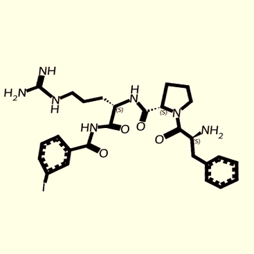 N=C(N)NCCC[C@H](NC(=O)[C@@H]1CCCN1C(=O)[C@@H](N)Cc1ccccc1)C(=O)NC(=O)c1cccc(I)c1